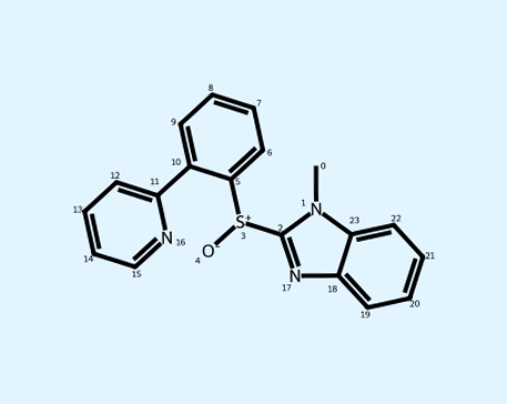 Cn1c([S+]([O-])c2ccccc2-c2ccccn2)nc2ccccc21